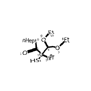 CCCCCCCC(=O)[Si](S)(CCC)C(OCC)OCC